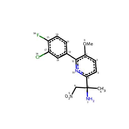 COc1ccc(C(C)(N)C[N+](=O)[O-])nc1-c1ccc(F)c(Cl)c1